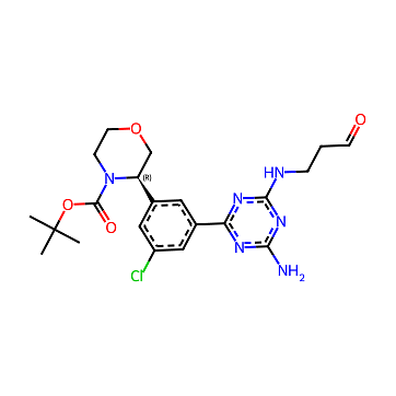 CC(C)(C)OC(=O)N1CCOC[C@H]1c1cc(Cl)cc(-c2nc(N)nc(NCCC=O)n2)c1